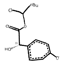 CCCCC(Cl)OC(=O)[C@@H](O)c1ccc(Cl)cc1